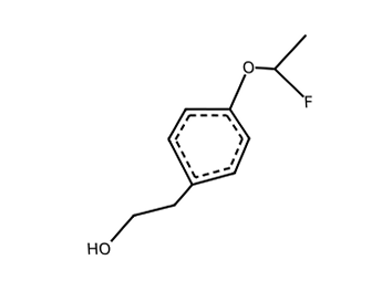 CC(F)Oc1ccc(CCO)cc1